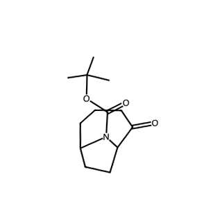 CC(C)(C)OC(=O)N1C2CCCC(=O)C1CC2